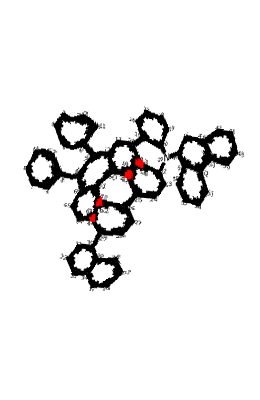 c1ccc(-c2c(-c3ccccc3)c3cc(-c4ccccc4N(c4ccc(-c5ccc(-c6cccc7ccccc67)cc5)cc4)c4cc5ccccc5c5ccccc45)ccc3c3ccccc23)cc1